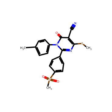 CSc1nc(-c2ccc(S(C)(=O)=O)cc2)n(-c2ccc(C)cc2)c(=O)c1C#N